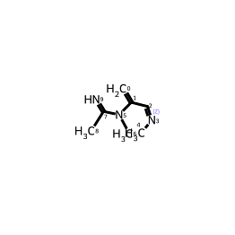 C=C(/C=N\C)N(C)C(C)=N